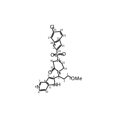 COCCC(c1cc2cnccc2[nH]1)N1CCN(S(=O)(=O)c2cc3ccc(Cl)cc3s2)CC1=O